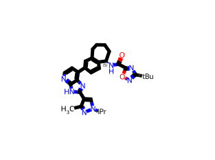 Cc1nn(C(C)C)cc1-c1nc2c(-c3ccc4c(c3)CCCC[C@@H]4NC(=O)c3nc(C(C)(C)C)no3)ccnc2[nH]1